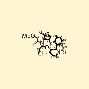 COC[C@H](C)N(C(=O)CCl)c1c(C)csc1C.c1cc[n+]2c(c1)-c1cccc[n+]1CC2